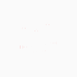 O=Cc1oc(C=O)c(C(=O)O)c1C(=O)O